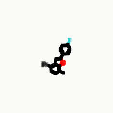 Cc1ccc(C(C)C)c2cc(-c3ccc(F)cc3)oc12